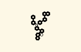 c1ccc(-c2cccc(N(c3ccc(-c4cccc(-c5cccc6ccccc56)c4)cc3)c3cccc(-c4cccc5oc6c7ccccc7ccc6c45)c3)c2)cc1